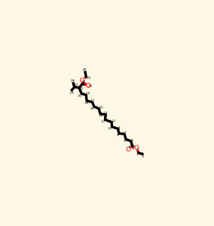 CCOC(=O)CCCCCCCCCCCCCCCCC(C(=O)OCC)C(C)C